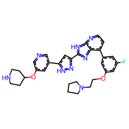 Fc1cc(OCCN2CCCC2)cc(-c2ccnc3[nH]c(-c4cc(-c5cncc(OC6CCNCC6)c5)[nH]n4)nc23)c1